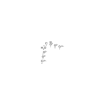 O.O.[C].[Cr+3].[Cr+3].[O-2].[O-2].[O-2]